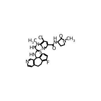 CN1CC[C@@H](NC(=O)c2cnc(N(C)NC(=S)NC3c4cnccc4CCc4c(F)cccc43)c(Cl)c2)C1=O